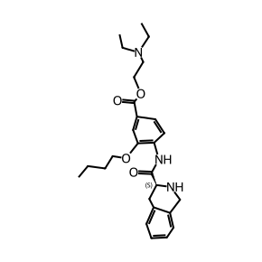 CCCCOc1cc(C(=O)OCCN(CC)CC)ccc1NC(=O)[C@@H]1Cc2ccccc2CN1